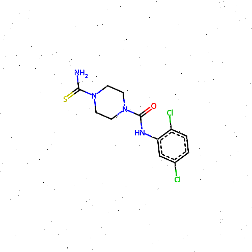 NC(=S)N1CCN(C(=O)Nc2cc(Cl)ccc2Cl)CC1